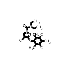 CCN(CC)C(=O)n1cc(Cl)c(Sc2c(C)c(Cl)c(C)c(Cl)c2C)n1